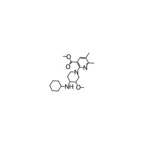 COC(=O)c1cc(C)c(C)nc1N1CCC(NC2CCCCC2)C(OC)C1